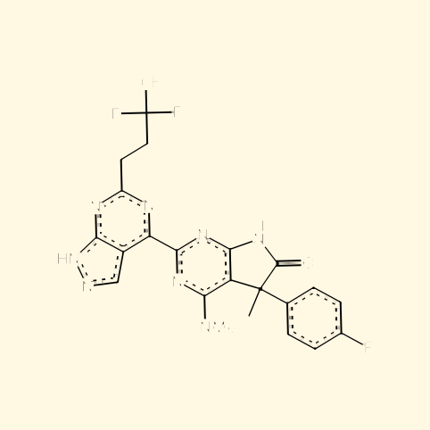 CNc1nc(-c2nc(CCC(F)(F)C(F)(F)F)nc3[nH]ncc23)nc2c1C(C)(c1ccc(F)cc1)C(=O)N2